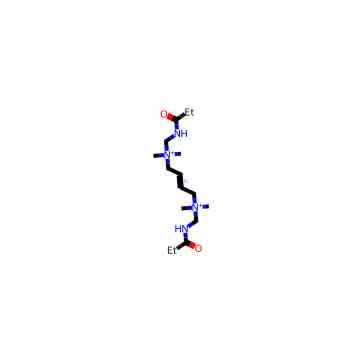 CCC(=O)NC[N+](C)(C)C/C=C/C[N+](C)(C)CNC(=O)CC